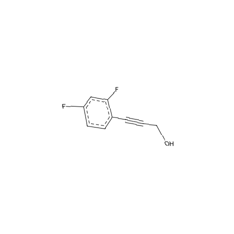 OCC#Cc1ccc(F)cc1F